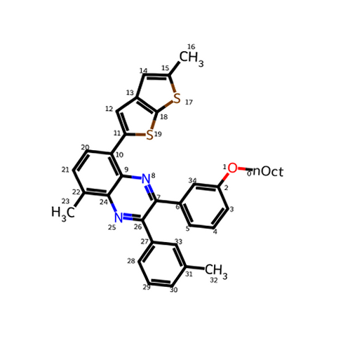 CCCCCCCCOc1cccc(-c2nc3c(-c4cc5cc(C)sc5s4)ccc(C)c3nc2-c2cccc(C)c2)c1